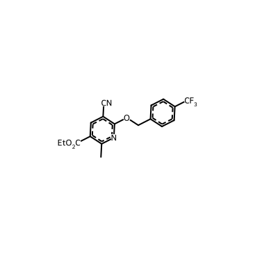 CCOC(=O)c1cc(C#N)c(OCc2ccc(C(F)(F)F)cc2)nc1C